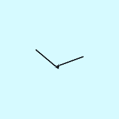 [CH2]c1cc(SCCCCCCCCCCCCCCCCCCCCCCCCCCCC)cc(SCCCCCCCCCCCCCCCCCCCCCCCCCCCC)c1